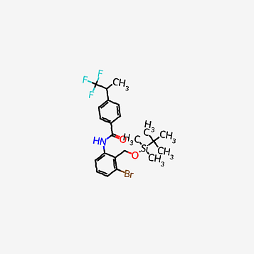 CC(c1ccc(C(=O)Nc2cccc(Br)c2CO[Si](C)(C)C(C)(C)C)cc1)C(F)(F)F